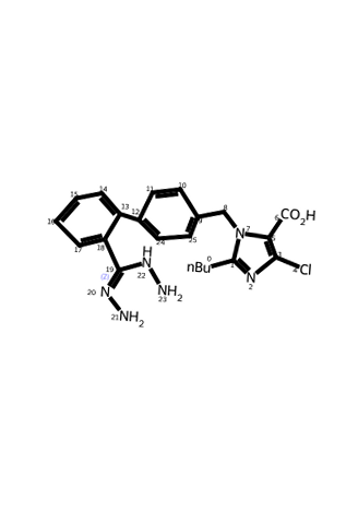 CCCCc1nc(Cl)c(C(=O)O)n1Cc1ccc(-c2ccccc2/C(=N/N)NN)cc1